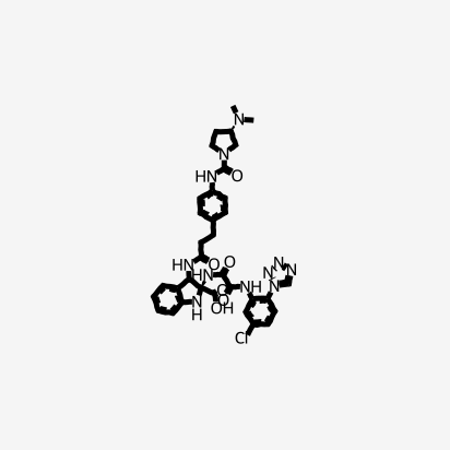 CN(C)[C@H]1CCN(C(=O)Nc2ccc(CCC(=O)NC3c4ccccc4N[C@@]3(NC(=O)C(=O)Nc3cc(Cl)ccc3-n3cnnn3)C(=O)O)cc2)C1